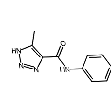 Cc1[nH]nnc1C(=O)Nc1ccccc1